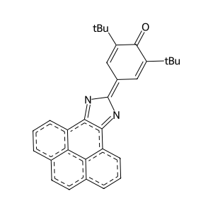 CC(C)(C)C1=CC(=C2N=c3c(c4cccc5ccc6cccc3c6c54)=N2)C=C(C(C)(C)C)C1=O